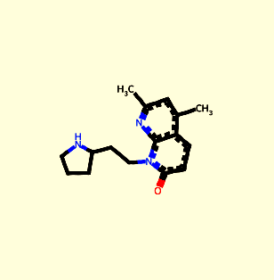 Cc1cc(C)c2ccc(=O)n(CCC3CCCN3)c2n1